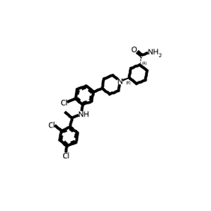 CC(Nc1cc(C2CCN([C@@H]3CCC[C@@H](C(N)=O)C3)CC2)ccc1Cl)c1ccc(Cl)cc1Cl